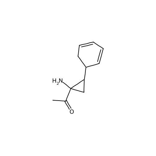 CC(=O)C1(N)CC1C1C=CC=CC1